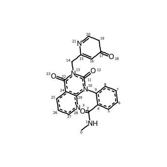 CNC(=O)c1ccccc1-n1c(=O)n(CC2=CC(=O)CC=N2)c(=O)c2cccnc21